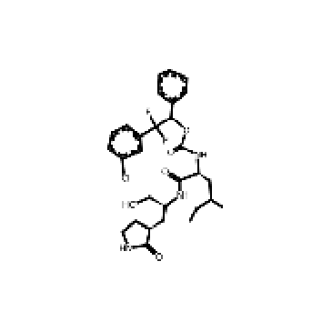 CCC(C)C[C@H](NC(=O)OC(c1ccccc1)C(F)(F)c1cccc(Cl)c1)C(=O)N[C@H](CO)C[C@@H]1CCNC1=O